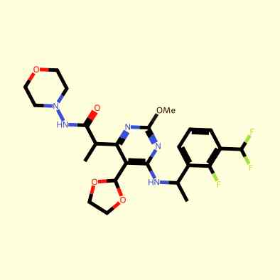 COc1nc(NC(C)c2cccc(C(F)F)c2F)c(C2OCCO2)c(C(C)C(=O)NN2CCOCC2)n1